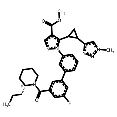 CCC[C@@H]1CCCCN1C(=O)c1cc(F)cc(-c2cccc(-n3ncc(C(=O)OC)c3C3CC3c3cn(C)nn3)c2)c1